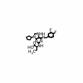 CCC(Nc1nc(NCc2ccc(F)c(F)c2)c2c(n1)N(C1CCCC1)CN2)C(=O)O